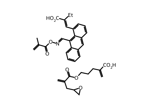 C=C(C)C(=O)ON=Cc1c2ccccc2cc2cccc(C=C(CC)C(=O)O)c12.C=C(CCCOC(=O)C(=C)CC1CO1)C(=O)O